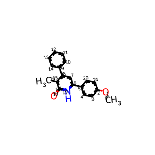 COc1ccc(-c2cc(-c3ccccc3)c(C)c(=O)[nH]2)cc1